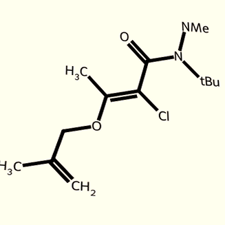 C=C(C)CO/C(C)=C(\Cl)C(=O)N(NC)C(C)(C)C